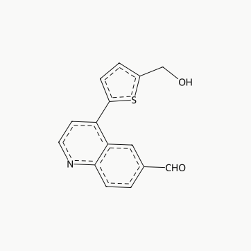 O=Cc1ccc2nccc(-c3ccc(CO)s3)c2c1